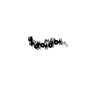 CCc1cc(C(N)=O)ccc1-n1nc(C(C)C)c2c(NC(=O)c3ccc(-n4nc(C(C)C)c5c(-n6cnc(-c7cnn(C)c7)c6)ccnc54)c(CC)c3)ccnc21